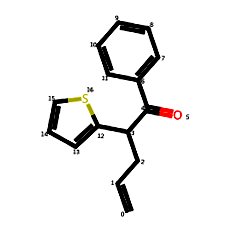 C=CCC(C(=O)c1ccccc1)c1cccs1